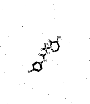 N[C@H]1CCCN(P(N)(=O)NC(=O)Nc2ccc(Br)cc2)C1=O